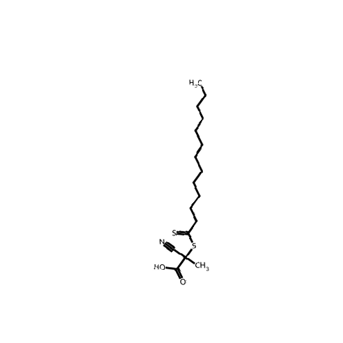 CCCCCCCCCCCCC(=S)SC(C)(C#N)C(=O)O